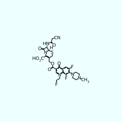 CN1CCN(c2c(F)cc3c(=O)c(C(=O)OCC4=C(C(=O)O)N5C(=O)[C@@H](NC(=O)CC#N)[C@H]5SC4)cn(CCF)c3c2F)CC1